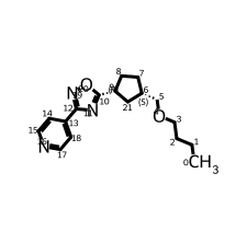 CCCCOC[C@H]1CC[C@@H](c2nc(-c3ccncc3)no2)C1